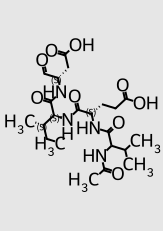 CC[C@H](C)[C@H](NC(=O)[C@H](CCC(=O)O)NC(=O)C(NC(C)=O)C(C)C)C(=O)N[C@H](C=O)CC(=O)O